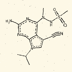 CC(C)n1cc(C#N)c2c(N(C)NS(C)(=O)=O)nc(N)nc21